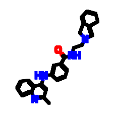 Cc1cc(Nc2cccc(C(=O)NCCN3C=C4CC=CC=C4C3)c2)c2ccccc2n1